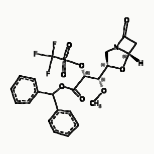 CO[C@@H]([C@H]1CN2C(=O)C[C@@H]2O1)[C@@H](OS(=O)(=O)C(F)(F)F)C(=O)OC(c1ccccc1)c1ccccc1